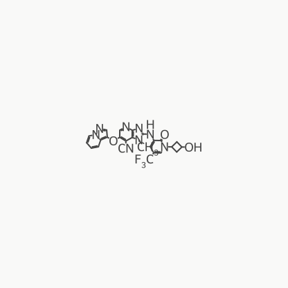 Cn1c(Nc2cc(C(F)(F)F)cn(C3CC(O)C3)c2=O)nc2ncc(Oc3cnn4ccccc34)c(C#N)c21